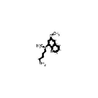 COc1cc(N(C)CCCCN)c2ncccc2c1